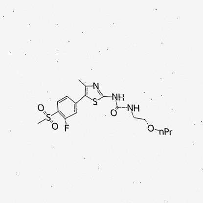 CCCOCCNC(=O)Nc1nc(C)c(-c2ccc(S(C)(=O)=O)c(F)c2)s1